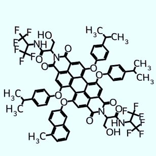 Cc1cccc2cc(Oc3cc4c5c(cc(Oc6ccc(C(C)C)cc6)c6c7c(Oc8ccc(C(C)C)cc8)cc8c9c(cc(Oc%10ccc(C(C)C)cc%10)c(c3c56)c97)C(=O)N(C(CO)C(=O)NC(C(F)(F)F)C(F)(F)F)C8=O)C(=O)N(C(CO)C(=O)NC(C(F)(F)F)C(F)(F)F)C4=O)ccc12